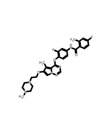 Cc1c(OCCN2CCN(C)CC2)cn2ncnc(Oc3ccc(NC(=O)c4ccc(F)cc4C(F)(F)F)cc3F)c12